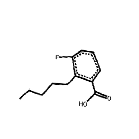 C[CH]CCCc1c(F)cccc1C(=O)O